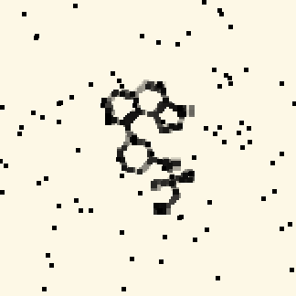 N#CCS(=O)(=O)NC1CCCN(c2nncc3cnc4[nH]ccc4c23)C1